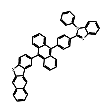 c1ccc(-n2c(-c3ccc(-c4c5ccccc5c(-c5ccc6sc7cc8ccccc8cc7c6c5)c5ccccc45)cc3)nc3ccccc32)cc1